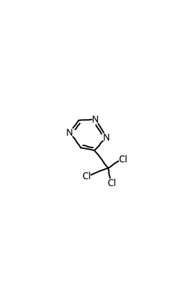 ClC(Cl)(Cl)c1cncnn1